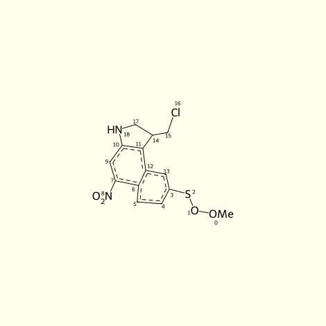 COOSc1ccc2c([N+](=O)[O-])cc3c(c2c1)C(CCl)CN3